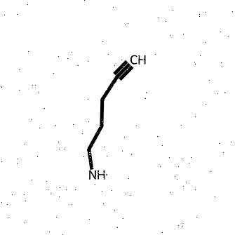 C#CCCC[NH]